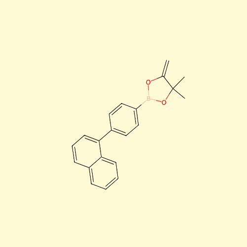 C=C1OB(c2ccc(-c3cccc4ccccc34)cc2)OC1(C)C